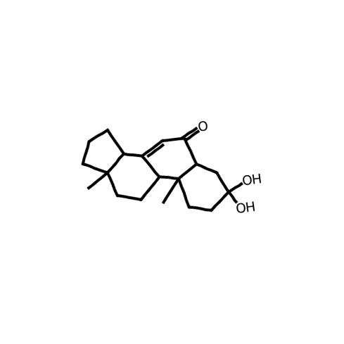 CC12CCCC1C1=CC(=O)C3CC(O)(O)CCC3(C)C1CC2